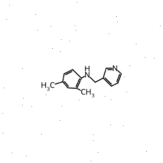 Cc1ccc(NCc2cccnc2)c(C)c1